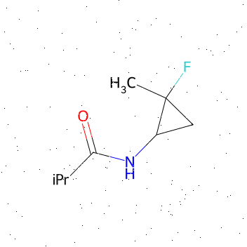 CC(C)C(=O)NC1CC1(C)F